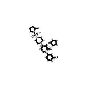 CC1CCCN1S(=O)(=O)N1CCN(c2cnn(-c3cccc(Cl)c3)c(=O)c2OC2CCCC2)CC1